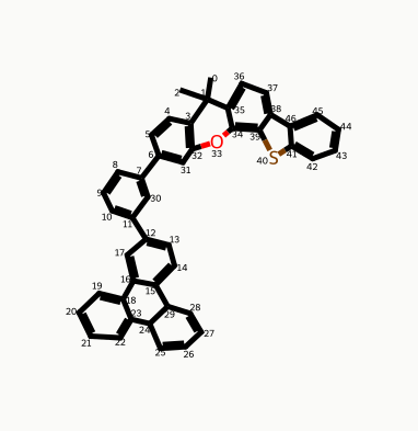 CC1(C)c2ccc(-c3cccc(-c4ccc5c(c4)-c4ccccc4C4C=CC=CC54)c3)cc2Oc2c1ccc1c2sc2ccccc21